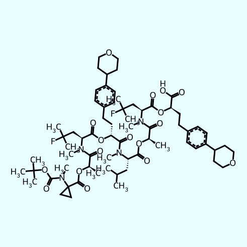 CC(C)C[C@@H](C(=O)O[C@H](C)C(=O)N(C)[C@@H](CC(C)(C)F)C(=O)O[C@H](CCc1ccc(C2CCOCC2)cc1)C(=O)O)N(C)C(=O)[C@@H](CCc1ccc(C2CCOCC2)cc1)OC(=O)[C@H](CC(C)(C)F)N(C)C(=O)[C@@H](C)OC(=O)C1(N(C)C(=O)OC(C)(C)C)CC1